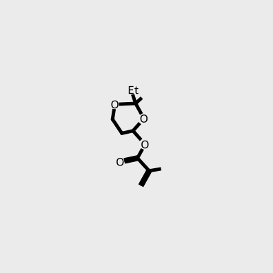 C=C(C)C(=O)OC1CCOC(C)(CC)O1